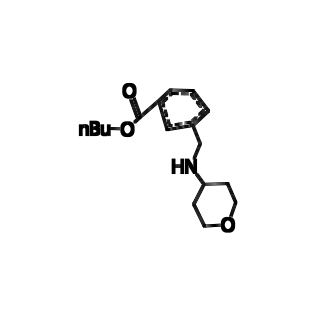 CCCCOC(=O)c1cccc(CNC2CCOCC2)c1